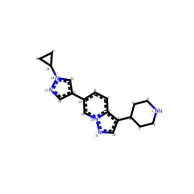 c1cc2c(C3CCNCC3)cnn2cc1-c1cnn(C2CC2)c1